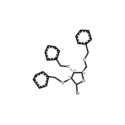 BrC1O[C@H](COCc2ccccc2)[C@@H](OCc2ccccc2)[C@@H]1OCc1ccccc1